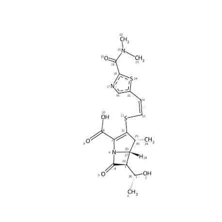 C[C@@H](O)[C@H]1C(=O)N2C(C(=O)O)=C(S/C=C\c3cnc(C(=O)N(C)C)s3)[C@H](C)[C@H]12